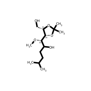 CO[C@@H](C(O)CCC(C)C)[C@H]1OC(C)(C)O[C@H]1CO